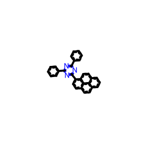 c1ccc(-c2nc(-c3ccccc3)nc(-c3ccc4ccc5cccc6ccc3c4c56)n2)cc1